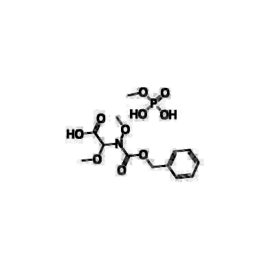 COC(C(=O)O)N(OC)C(=O)OCc1ccccc1.COP(=O)(O)O